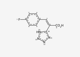 O=C(O)C(=Cc1ccc(F)cc1)c1nnn[nH]1